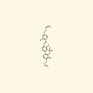 C=CCCc1ccc(OCc2ccc3c(c2F)C(F)(F)Cc2c-3ccc(CCC)c2F)c(F)c1